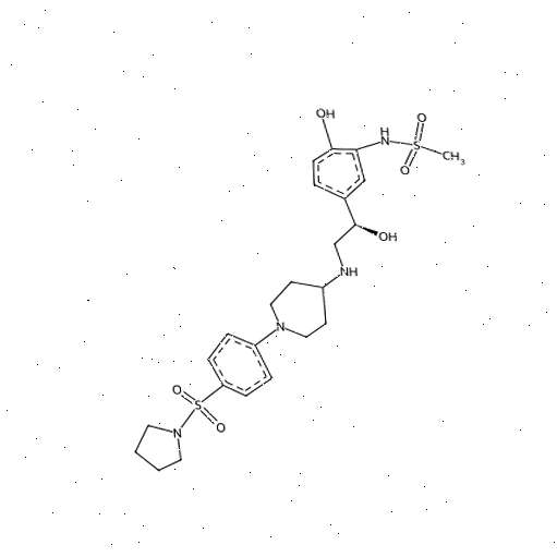 CS(=O)(=O)Nc1cc([C@@H](O)CNC2CCN(c3ccc(S(=O)(=O)N4CCCC4)cc3)CC2)ccc1O